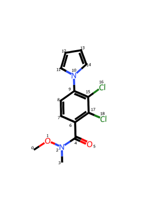 CON(C)C(=O)c1ccc(-n2cccc2)c(Cl)c1Cl